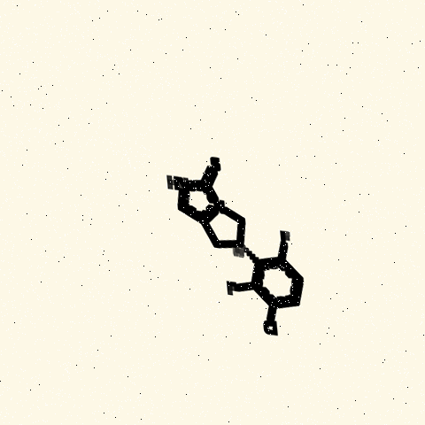 Fc1ccc(Cl)c(F)c1[C@@H]1Cc2c[nH]c(=S)n2C1